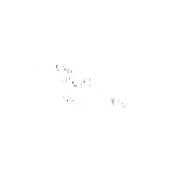 NC(CCC(=O)NC(CSOC(=O)CCCCOC(=O)CBr)C(=O)NCC(=O)O)C(=O)O